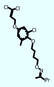 CC(=NOCCCCOc1c(C)cc(OCC=C(Cl)Cl)cc1Cl)C(C)C